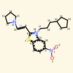 O=[N+]([O-])c1ccc2sc(/C=C/N3CCCC3)[n+](CCCC3CCCC3)c2c1